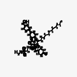 CCCCCCCCCCCCCCC(C(=O)NCCS(N)(=O)=O)(c1nc2ccc(-c3ccc(CO)cc3)cc2s1)S(=O)(=O)Cc1ccc(F)cc1